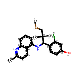 CCSC[C@@](C)(C(Nc1cccc2nc(C)ccc12)c1ccc(O)cc1F)C(F)(F)F